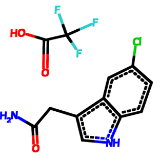 NC(=O)Cc1c[nH]c2ccc(Cl)cc12.O=C(O)C(F)(F)F